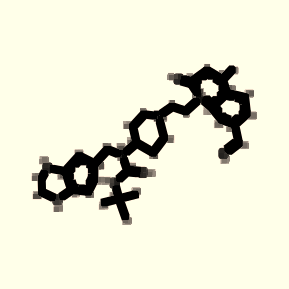 Cc1cc(=O)n(CCN2CCC(N(Cc3ccc4c(c3)OCCO4)C(=O)OC(C)(C)C)CC2)c2cc(C=O)ccc12